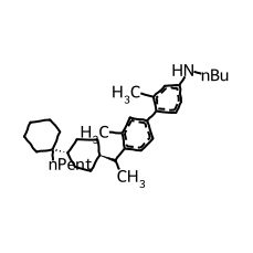 CCCCCC1([C@H]2CC[C@H](C(C)c3ccc(-c4ccc(NCCCC)cc4C)cc3C)CC2)CCCCC1